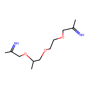 CC(=N)COCCOCC(C)OCC(C)=N